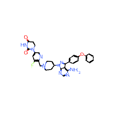 Nc1ncnc2c1c(-c1ccc(Oc3ccccc3)cc1)nn2C1CCN(Cc2ncc(N3CCC(=O)NC3=O)cc2F)CC1